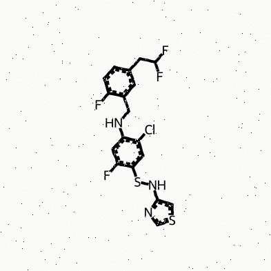 Fc1ccc(CC(F)F)cc1CNc1cc(F)c(SNc2cscn2)cc1Cl